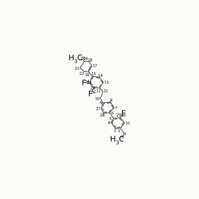 CCc1ccc(-c2ccc(CCc3ccc(C4=CCC(C)CC4)c(F)c3F)cc2)c(F)c1